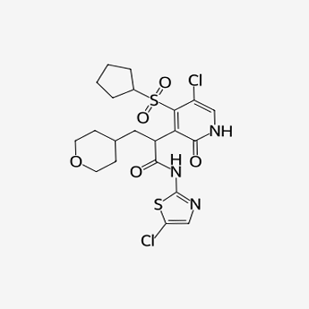 O=C(Nc1ncc(Cl)s1)C(CC1CCOCC1)c1c(S(=O)(=O)C2CCCC2)c(Cl)c[nH]c1=O